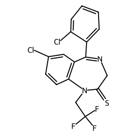 FC(F)(F)CN1C(=S)CN=C(c2ccccc2Cl)c2cc(Cl)ccc21